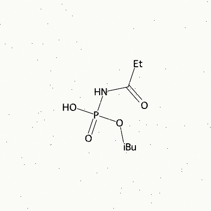 CCC(=O)NP(=O)(O)OC(C)CC